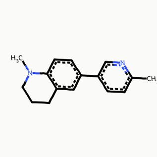 Cc1ccc(-c2ccc3c(c2)CCCN3C)cn1